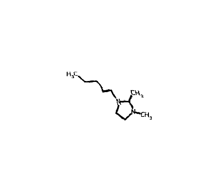 CCCCCN1CCN(C)C1C